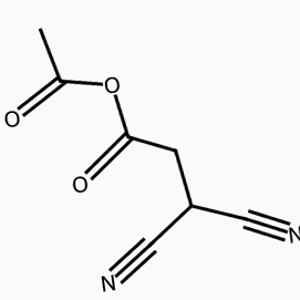 CC(=O)OC(=O)CC(C#N)C#N